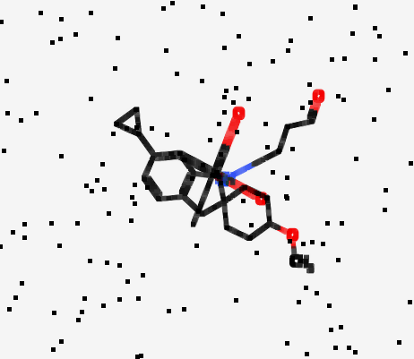 COC1CCC2(CC1)Cc1ccc(C3CC3)cc1C21NC(=O)N(CCC=O)C1=O